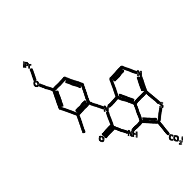 Cc1cc(OC(C)C)ccc1N1C(=O)Nc2c(C(=O)O)sc3nccc1c23